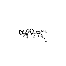 CCCNCc1cc([S+]([O-])c2cccc(NS(=O)(=O)c3ccccc3)c2)ccc1N